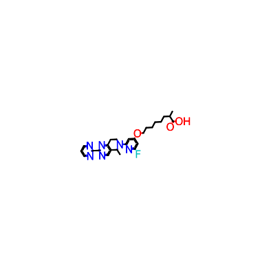 CC(CCCCCCOc1cc(F)nc(N2CCc3nc(-c4ncccn4)ncc3C2C)c1)C(=O)O